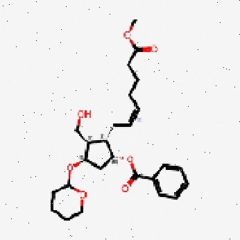 COC(=O)CCC/C=C\C[C@H]1[C@H](CO)[C@H](OC2CCCCO2)C[C@H]1OC(=O)c1ccccc1